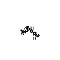 O=C(C1CC1)N1CC(CN2C(=O)C3(CC3)NC2c2ccc(C3=CNC(N4CCCC4)C=C3)cc2)C1